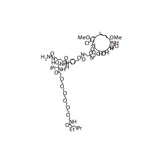 CCC(CC(C)C)C(=O)NCCOCCOCCOCCOCCOCCOCCC(=O)N[C@H](C(=O)N[C@@H](CCCNC(N)=O)C(=O)Nc1ccc(COC(=O)N(C)CCC(=O)N(C)CC(=O)O[C@@H]2CC(=O)N(C)c3cc(cc(OC)c3Cl)C/C(C)=C/C=C/[C@@H](OC)[C@@]3(C)C[C@H](OC(=O)N3)C(C)[C@@H]3O[C@@H]23)cc1)C(C)C